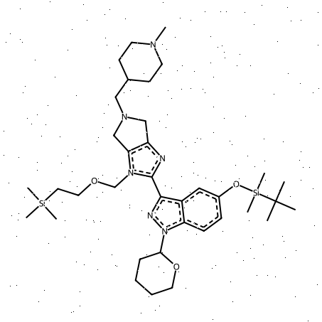 CN1CCC(CN2Cc3nc(-c4nn(C5CCCCO5)c5ccc(O[Si](C)(C)C(C)(C)C)cc45)n(COCC[Si](C)(C)C)c3C2)CC1